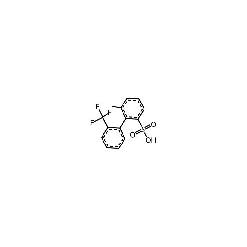 Cc1cccc(S(=O)(=O)O)c1-c1ccccc1C(F)(F)F